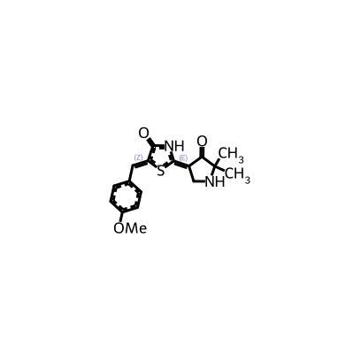 COc1ccc(/C=c2\s/c(=C3\CNC(C)(C)C3=O)[nH]c2=O)cc1